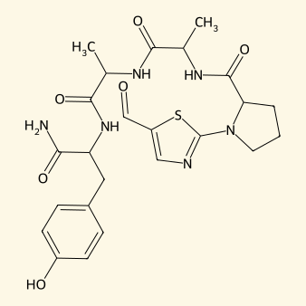 CC(NC(=O)C(C)NC(=O)C1CCCN1c1ncc(C=O)s1)C(=O)NC(Cc1ccc(O)cc1)C(N)=O